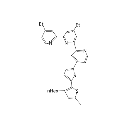 CCCCCCc1cc(C)sc1-c1ccc(-c2ccnc(-c3cc(CC)cc(-c4cc(CC)ccn4)n3)c2)s1